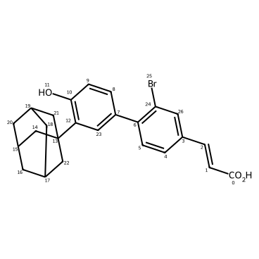 O=C(O)C=Cc1ccc(-c2ccc(O)c(C34CC5CC(CC(C5)C3)C4)c2)c(Br)c1